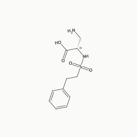 NC[C@H](NS(=O)(=O)CCc1ccccc1)C(=O)O